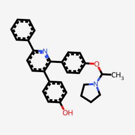 CC(Oc1ccc(-c2nc(-c3ccccc3)ccc2-c2ccc(O)cc2)cc1)N1CCCC1